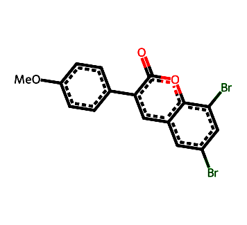 COc1ccc(-c2cc3cc(Br)cc(Br)c3oc2=O)cc1